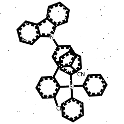 N#Cc1ccc(-n2c3ccccc3c3ccccc32)cc1-c1cccc(C#N)c1[Si](c1ccccc1)(c1ccccc1)c1ccccc1